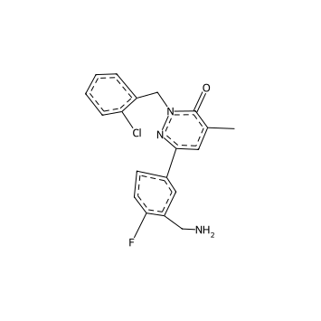 Cc1cc(-c2ccc(F)c(CN)c2)nn(Cc2ccccc2Cl)c1=O